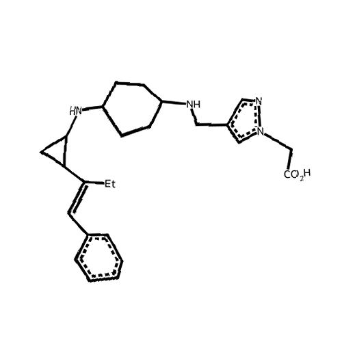 CC/C(=C\c1ccccc1)C1CC1NC1CCC(NCc2cnn(CC(=O)O)c2)CC1